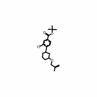 C=C(C)COC1CCCC(c2ccc(C(=O)OC(C)(C)C)cc2Cl)C1